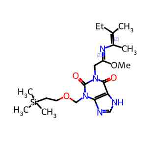 CC/C(C)=C(C)\N=C(\Cn1c(=O)c2[nH]cnc2n(COCC[Si](C)(C)C)c1=O)OC